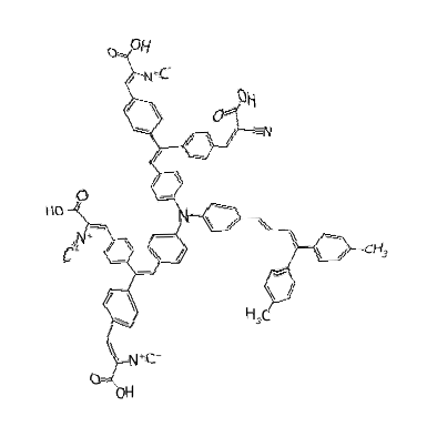 [C-]#[N+]/C(=C\c1ccc(C(=Cc2ccc(N(c3ccc(/C=C/C=C(c4ccc(C)cc4)c4ccc(C)cc4)cc3)c3ccc(/C=C(\c4ccc(/C=C(/C#N)C(=O)O)cc4)c4ccc(/C=C(\[N+]#[C-])C(=O)O)cc4)cc3)cc2)c2ccc(/C=C(\[N+]#[C-])C(=O)O)cc2)cc1)C(=O)O